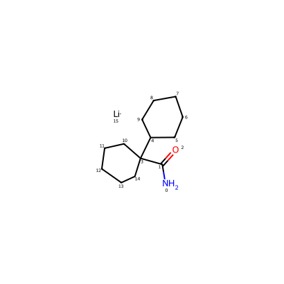 NC(=O)C1(C2CCCCC2)CCCCC1.[Li]